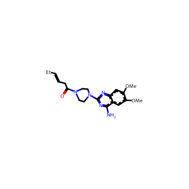 CCC=CCC(=O)N1CCN(c2nc(N)c3cc(OC)c(OC)cc3n2)CC1